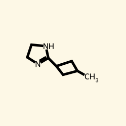 CC1CC(C2=NCCN2)C1